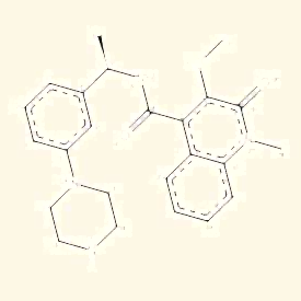 COc1c(C(=O)N[C@H](C)c2cccc(N3CCNCC3)c2)c2ccccc2n(C)c1=O